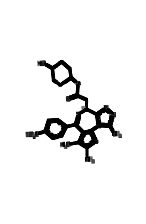 Cc1sc2c(c1C)C(c1ccc(C(=O)O)cc1)=N[C@@H](CC(=O)OC1CCC(O)CC1)c1nnc(C)n1-2